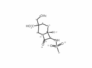 CC(=O)OCC1(C(=O)O)CS[C@@H]2C(NS(C)(=O)=O)C(=O)N2C1